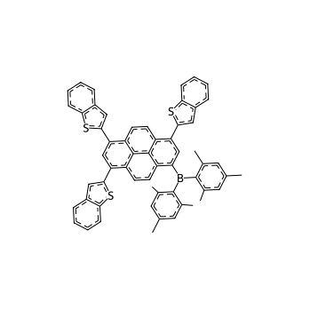 Cc1cc(C)c(B(c2c(C)cc(C)cc2C)c2cc(-c3cc4ccccc4s3)c3ccc4c(-c5cc6ccccc6s5)cc(-c5cc6ccccc6s5)c5ccc2c3c54)c(C)c1